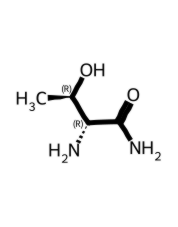 C[C@@H](O)[C@@H](N)C(N)=O